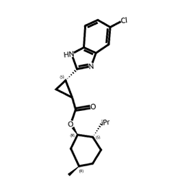 CC(C)[C@@H]1CC[C@@H](C)C[C@H]1OC(=O)C1C[C@@H]1c1nc2cc(Cl)ccc2[nH]1